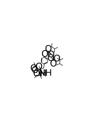 CCC(C)N[C@@](Cc1ccc(OC(=O)OC(C)C(C)C)c(OC(=O)OC(C)C(C)C)c1)(OC(C)=O)C(=O)O